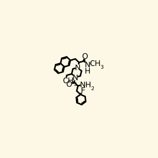 CCC1CN(C(Cc2ccc3ccccc3c2)C(=O)NC)CCN1C(=O)C(N)CC1(F)C=CC=CC1